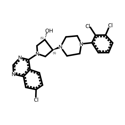 O[C@H]1CN(c2ncnc3cc(Cl)ccc23)C[C@@H]1N1CCN(c2cccc(Cl)c2Cl)CC1